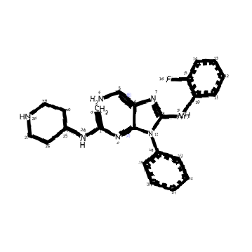 C=C(/N=C1\C(=C/N)N=C(Nc2ccccc2F)N1c1ccccc1)NC1CCNCC1